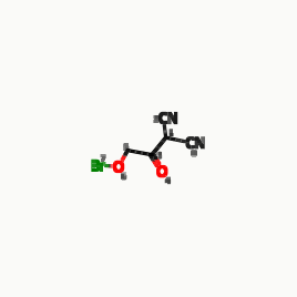 N#CC(C#N)C(=O)COBr